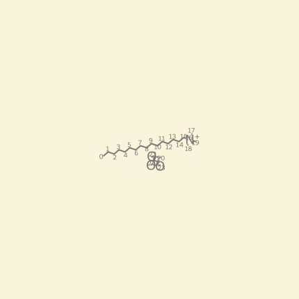 CCCCCCCCCCCCCCCC[N+](C)(C)C.CS(=O)(=O)[O-]